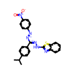 CC(C)c1ccc(C(/N=N/c2ccc([N+](=O)[O-])cc2)=N\Nc2nc3ccccc3s2)cc1